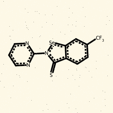 FC(F)(F)c1ccc2c(=S)n(-c3ncccn3)[se]c2c1